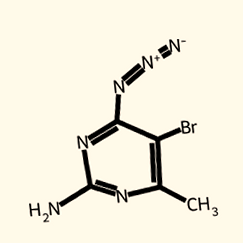 Cc1nc(N)nc(N=[N+]=[N-])c1Br